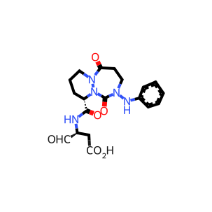 O=C[C@H](CC(=O)O)NC(=O)[C@@H]1CCCN2C(=O)CCN(Nc3ccccc3)C(=O)N12